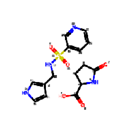 O=C1CCC(C(=O)O)N1.O=S(=O)(NCc1cc[nH]c1)c1cccnc1